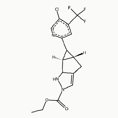 CCOC(=O)N1C=C2C[C@H]3C(c4cc(C(F)(F)F)c(Cl)cn4)[C@@H]3C2N1